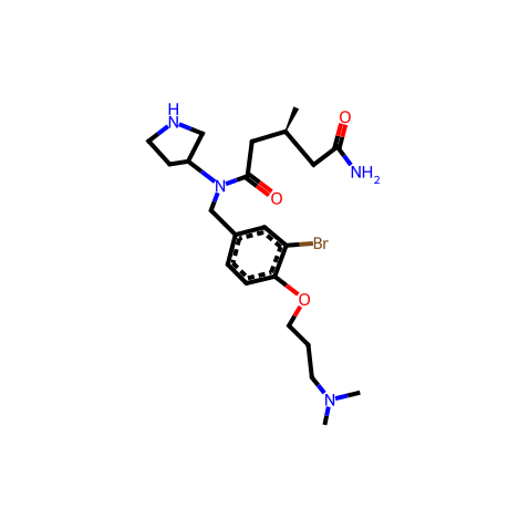 C[C@@H](CC(N)=O)CC(=O)N(Cc1ccc(OCCCN(C)C)c(Br)c1)C1CCNC1